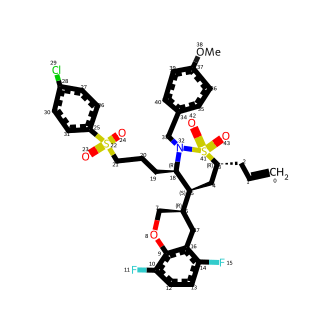 C=CC[C@@H]1C[C@@H]([C@@H]2COc3c(F)ccc(F)c3C2)[C@@H](CCCS(=O)(=O)c2ccc(Cl)cc2)N(Cc2ccc(OC)cc2)S1(=O)=O